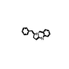 C(=C1CC=C2N=c3ccccc3=CN12)c1ccccc1